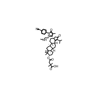 CNCCn1c([C@@]23CC[C@]4(C)[C@H](CC[C@@H]5[C@@]6(C)CC[C@H](OC(=O)CC(C)(C)C(=O)O)C(C)(C)[C@@H]6CC[C@]54C)C2=C(C(C)C)C(=O)C3)c(C)c(=O)n1-c1ccc(C#N)cc1